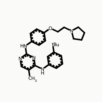 Cc1cnc(Nc2ccc(OCCN3CCCC3)cc2)nc1Nc1cccc(C(C)(C)C)c1